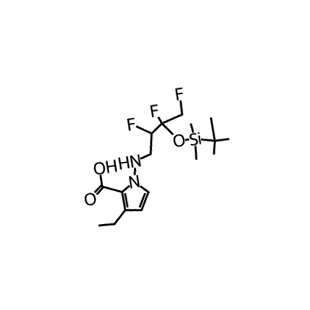 CCc1ccn(NCC(F)C(F)(CF)O[Si](C)(C)C(C)(C)C)c1C(=O)O